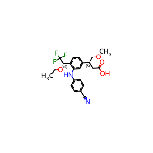 CCO[C@@H](c1ccc([C@@H](COC)CC(=O)O)cc1Nc1ccc(C#N)cc1)C(F)(F)F